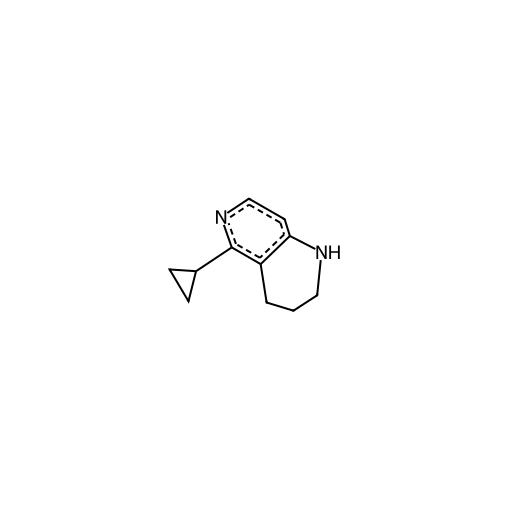 c1cc2c(c(C3CC3)n1)CCCN2